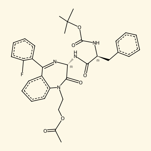 CC(=O)OCCN1C(=O)[C@@H](NC(=O)[C@H](Cc2ccccc2)NC(=O)OC(C)(C)C)N=C(c2ccccc2F)c2ccccc21